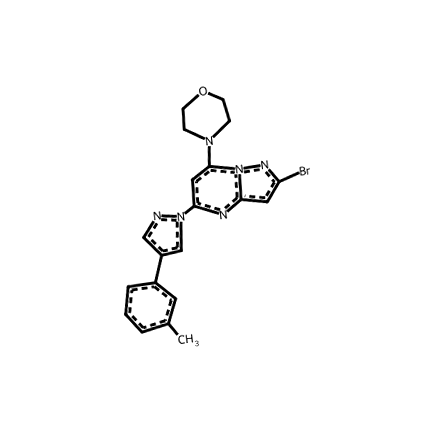 Cc1cccc(-c2cnn(-c3cc(N4CCOCC4)n4nc(Br)cc4n3)c2)c1